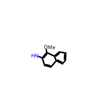 COc1c([NH])ccc2ccccc12